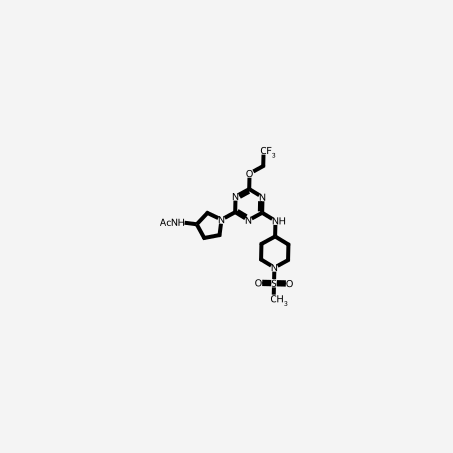 CC(=O)NC1CCN(c2nc(NC3CCN(S(C)(=O)=O)CC3)nc(OCC(F)(F)F)n2)C1